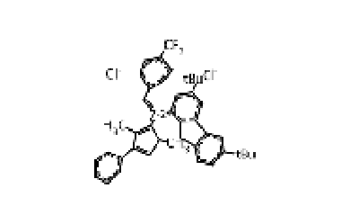 CC1=[C](/[Zr+2](=[CH]/c2ccc(C(F)(F)F)cc2)[c]2cc(C(C)(C)C)cc3c2Cc2ccc(C(C)(C)C)cc2-3)C(C)C=C1c1ccccc1.[Cl-].[Cl-]